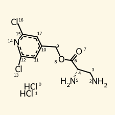 Cl.Cl.NC[C@H](N)C(=O)OCc1cc(Cl)nc(Cl)c1